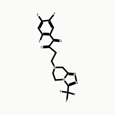 O=C(CCN1CCn2c(nnc2C(F)(F)F)C1)C(=O)c1cc(F)c(F)cc1F